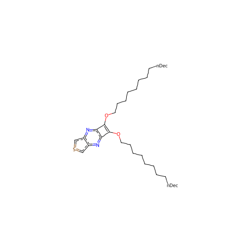 CCCCCCCCCCCCCCCCCCOC1=C(OCCCCCCCCCCCCCCCCCC)c2nc3cscc3nc21